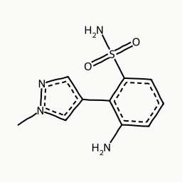 Cn1cc(-c2c(N)cccc2S(N)(=O)=O)cn1